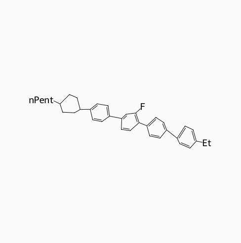 CCCCCC1CCC(c2ccc(-c3ccc(-c4ccc(-c5ccc(CC)cc5)cc4)c(F)c3)cc2)CC1